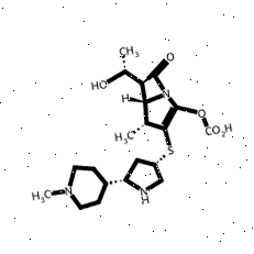 C[C@@H](O)[C@H]1C(=O)N2C(OC(=O)O)=C(S[C@@H]3CN[C@H](C4CCN(C)CC4)C3)[C@H](C)[C@H]12